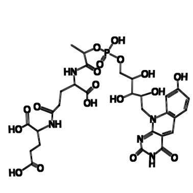 CC(OP(=O)(O)OCC(O)C(O)C(O)Cn1c2nc(=O)[nH]c(=O)c-2cc2ccc(O)cc21)C(=O)NC(CCC(=O)NC(CCC(=O)O)C(=O)O)C(=O)O